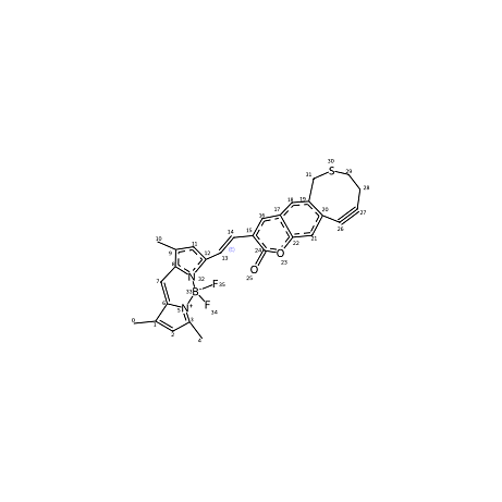 CC1=CC(C)=[N+]2C1=Cc1c(C)cc(/C=C/c3cc4cc5c(cc4oc3=O)C#CCCSC5)n1[B-]2(F)F